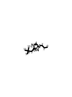 CCCn1cnc(CC(C)(C)C)n1